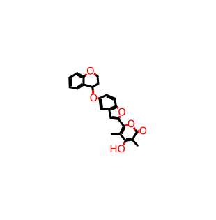 Cc1c(-c2cc3cc(OC4CCOc5ccccc54)ccc3o2)oc(=O)c(C)c1O